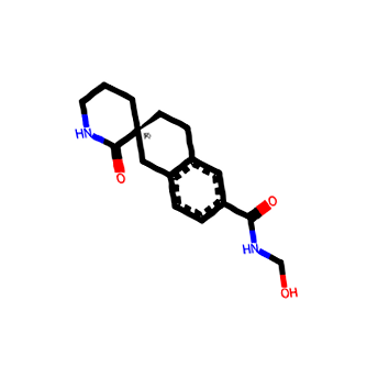 O=C(NCO)c1ccc2c(c1)CC[C@@]1(CCCNC1=O)C2